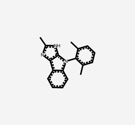 Cc1nc2c3ccccc3n(-c3c(C)cccc3C)c2[nH]1